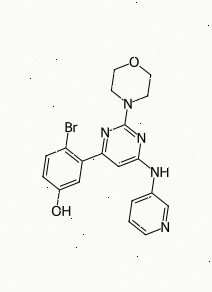 Oc1ccc(Br)c(-c2cc(Nc3cccnc3)nc(N3CCOCC3)n2)c1